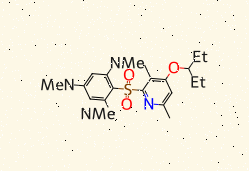 CCC(CC)Oc1cc(C)nc(S(=O)(=O)c2c(NC)cc(NC)cc2NC)c1C